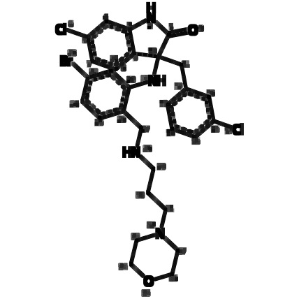 O=C1Nc2cc(Cl)ccc2C1(Cc1cccc(Cl)c1)Nc1cc(Br)ccc1CNCCCN1CCOCC1